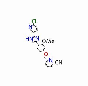 COC1C=C(OCc2cccc(C#N)n2)C=CC1c1c[nH]c(-c2ccc(Cl)nc2)n1